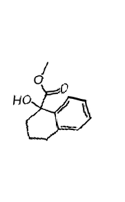 COC(=O)C1(O)CCCc2ccccc21